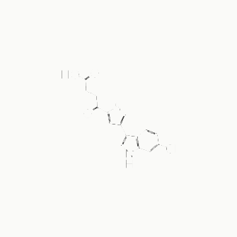 O=C(O)CCC(=O)c1cc(-c2c[nH]c3cc(Cl)ccc23)cs1